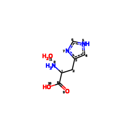 NC(Cc1c[nH]cn1)C(=O)O.O